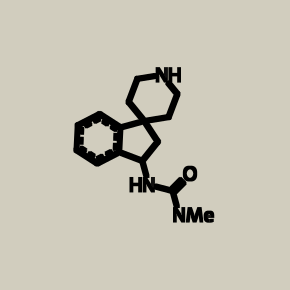 CNC(=O)NC1CC2(CCNCC2)c2ccccc21